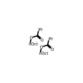 CCCCCCCCOC(=O)C(C)C.CCCCCCCCOC(=O)C(C)C